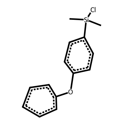 C[Si](C)(Cl)c1ccc(Oc2ccccc2)cc1